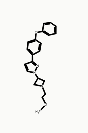 COCCN1CC(n2ccc(-c3ccc(Oc4ccccc4)cc3)n2)C1